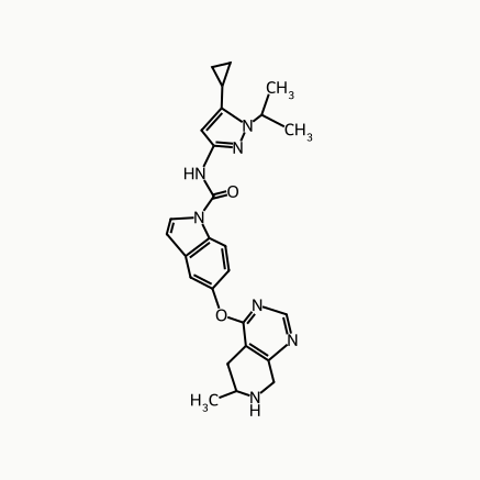 CC1Cc2c(ncnc2Oc2ccc3c(ccn3C(=O)Nc3cc(C4CC4)n(C(C)C)n3)c2)CN1